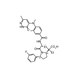 CCC(CC)(C(=O)O)[C@H]1CC[C@@H](c2cccc(F)c2)N1C(=O)[C@@H](C)NC(=O)c1ccc(N(C)c2cc(C)n[nH]c2=O)c(C)c1